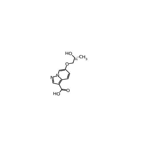 C[C@@H](O)COc1ccc2c(C(=O)O)cnn2c1